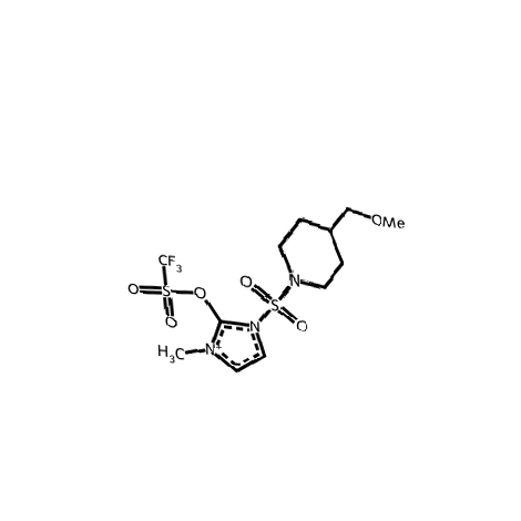 COCC1CCN(S(=O)(=O)n2cc[n+](C)c2OS(=O)(=O)C(F)(F)F)CC1